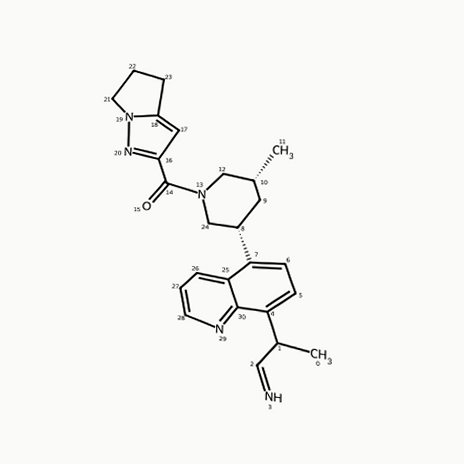 CC(C=N)c1ccc([C@H]2C[C@@H](C)CN(C(=O)c3cc4n(n3)CCC4)C2)c2cccnc12